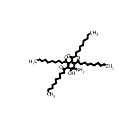 CCCCCCCCCC(=O)c1c(N)c(O)c(C(=O)CCCCCCCCC)c(C(=O)CCCCCCCCC)c1C(=O)CCCCCCCCC